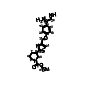 CC(C)(C)OC(=O)N1CCCC(c2nc(COc3ccc(N(N)C=N)cc3)cs2)C1